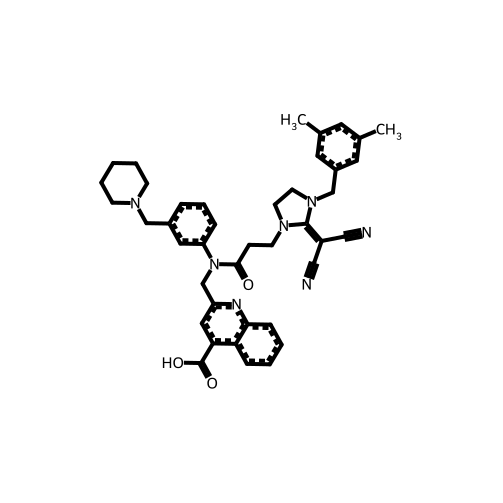 Cc1cc(C)cc(CN2CCN(CCC(=O)N(Cc3cc(C(=O)O)c4ccccc4n3)c3cccc(CN4CCCCC4)c3)C2=C(C#N)C#N)c1